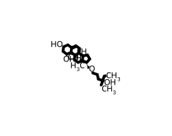 CCC(O)(CC)CCCOC[C@H]1CC[C@H]2C3=CC=C4C[C@@H](O)C[C@H](O)[C@]4(C)[C@H]3CC[C@]12C